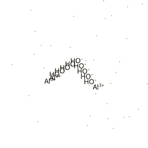 [Al+3].[Al+3].[Al+3].[OH-].[OH-].[OH-].[OH-].[OH-].[OH-].[OH-].[OH-].[OH-]